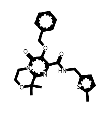 Cc1ccc(CNC(=O)c2nc3n(c(=O)c2OCc2ccccc2)CCOC3(C)C)s1